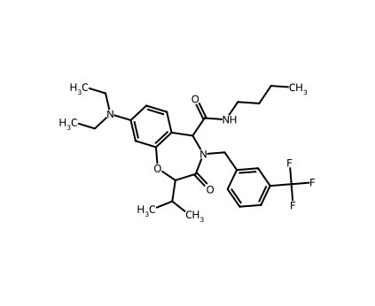 CCCCNC(=O)C1c2ccc(N(CC)CC)cc2OC(C(C)C)C(=O)N1Cc1cccc(C(F)(F)F)c1